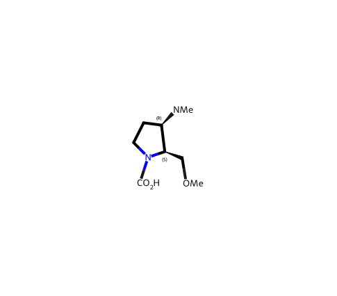 CN[C@@H]1CCN(C(=O)O)[C@@H]1COC